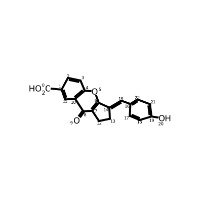 O=C(O)c1ccc2oc3c(c(=O)c2c1)CC/C3=C\c1ccc(O)cc1